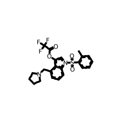 Cc1ccccc1S(=O)(=O)n1cc(OC(=O)C(F)(F)F)c2c(CN3CCCC3)cccc21